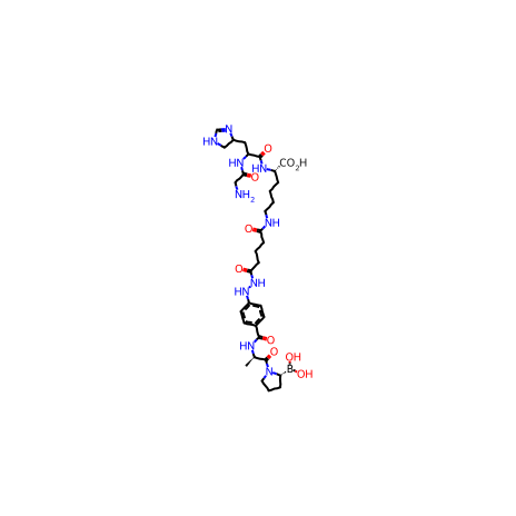 C[C@@H](NC(=O)c1ccc(NNC(=O)CCCC(=O)NCCCC[C@H](NC(=O)C(CC2CNC=N2)NC(=O)CN)C(=O)O)cc1)C(=O)N1CCC[C@H]1B(O)O